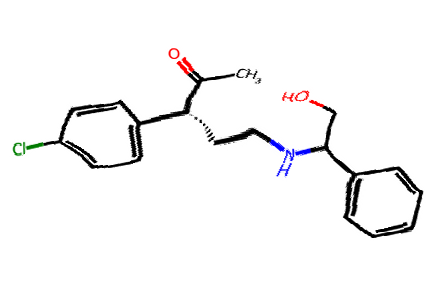 CC(=O)[C@H](CCNC(CO)c1ccccc1)c1ccc(Cl)cc1